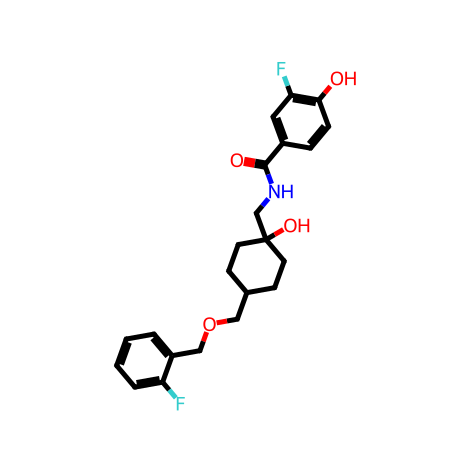 O=C(NCC1(O)CCC(COCc2ccccc2F)CC1)c1ccc(O)c(F)c1